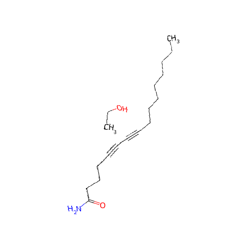 CCCCCCCCC#CC#CCCCC(N)=O.CCO